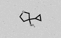 NC1(C2CC2)CCOC1